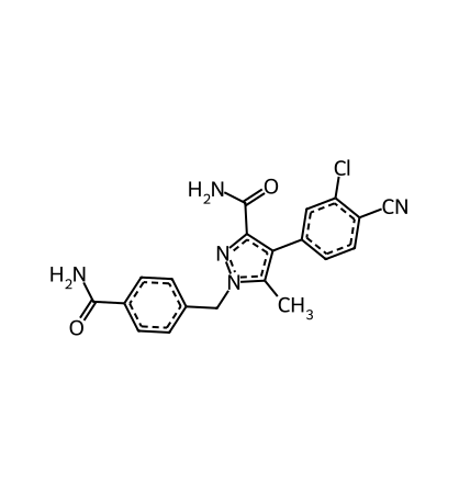 Cc1c(-c2ccc(C#N)c(Cl)c2)c(C(N)=O)nn1Cc1ccc(C(N)=O)cc1